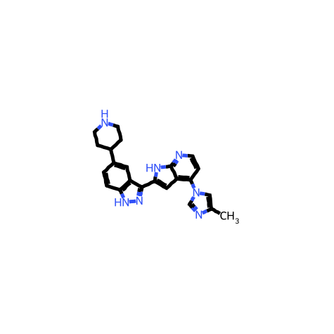 Cc1cn(-c2ccnc3[nH]c(-c4n[nH]c5ccc(C6CCNCC6)cc45)cc23)cn1